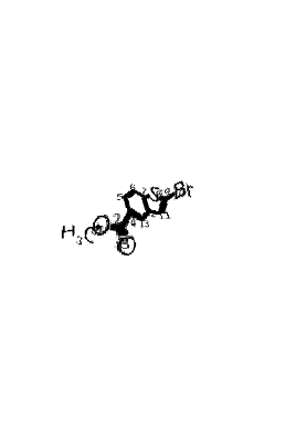 COC(=O)c1ccc2sc(Br)cc2c1